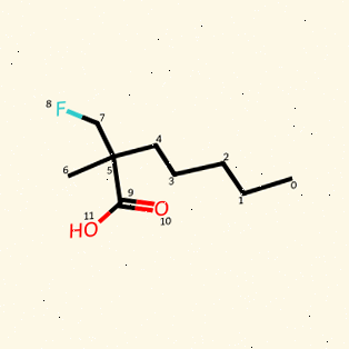 CCCCCC(C)(CF)C(=O)O